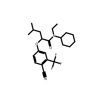 CCN(C(=O)C(CC(C)C)Oc1ccc(C#N)c(C(F)(F)F)c1)C1CCCCC1